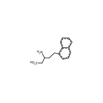 NC(CCc1cccc2ccccc12)CC(=O)O